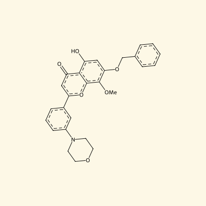 COc1c(OCc2ccccc2)cc(O)c2c(=O)cc(-c3cccc(N4CCOCC4)c3)oc12